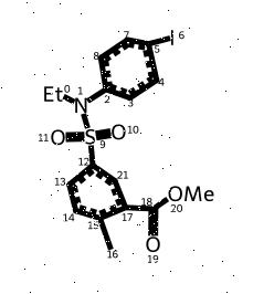 CCN(c1ccc(I)cc1)S(=O)(=O)c1ccc(C)c(C(=O)OC)c1